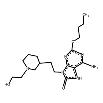 CCCCOc1nc(N)c2[nH]c(=O)n(CCC3CCCN(CCO)C3)c2n1